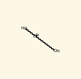 O=C(CCCCCCCCCCCCCCCCCO)OCCCCCCCCO